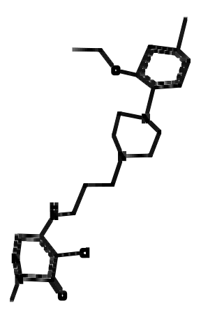 CCOc1cc(C)ccc1N1CCN(CCCNc2cnn(C)c(=O)c2Cl)CC1